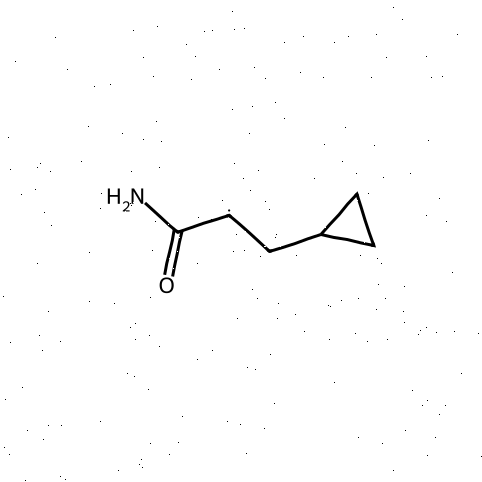 NC(=O)[CH]CC1CC1